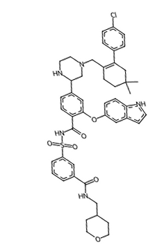 CC1(C)CCC(CN2CCNC(c3ccc(C(=O)NS(=O)(=O)c4cccc(C(=O)NCC5CCOCC5)c4)c(Oc4ccc5[nH]ccc5c4)c3)C2)=C(c2ccc(Cl)cc2)C1